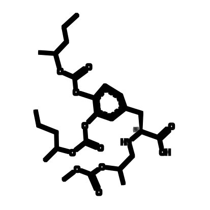 CCCC(C)OC(=O)Oc1ccc(C[C@H](NCC(C)OC(=O)OC)C(=O)O)cc1OC(=O)OC(C)CCC